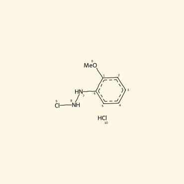 COc1ccccc1NNCl.Cl